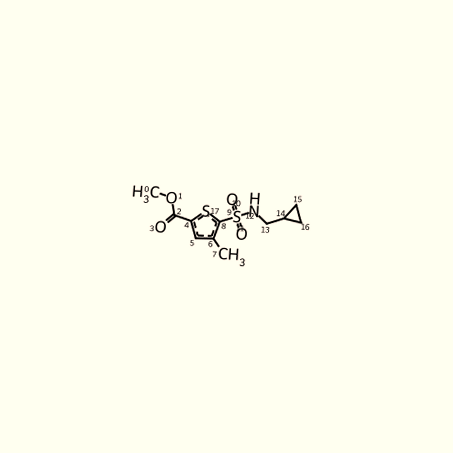 COC(=O)c1cc(C)c(S(=O)(=O)NCC2CC2)s1